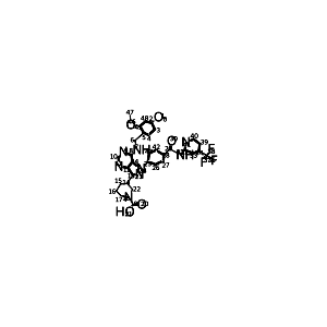 COc1ccc(CNc2ncnc3c(C4CCCN(C(=O)O)C4)nn(-c4ccc(C(=O)Nc5cc(C(F)(F)F)ccn5)cc4)c23)c(OC)c1